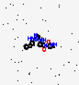 C=C1CCC(N2Cc3c(Nc4ccnc(Nc5ccc6c(c5)-c5ccccc5C6)n4)cccc3C2=O)C(=O)N1